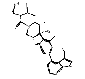 Cc1cc(-c2ccnc3[nH]cc(F)c23)cc(F)c1[C@@]1(O)[C@H](C)CN(C(=O)[C@@H](CO)N(C)C)C[C@@H]1C